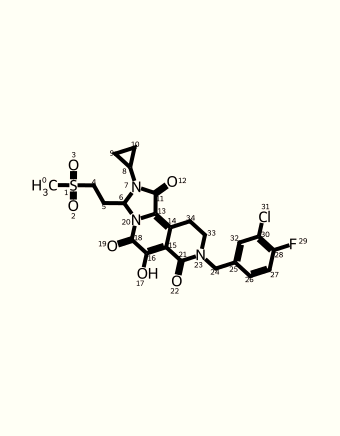 CS(=O)(=O)CCC1N(C2CC2)C(=O)c2c3c(c(O)c(=O)n21)C(=O)N(Cc1ccc(F)c(Cl)c1)CC3